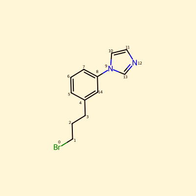 BrCCCc1cccc(-n2ccnc2)c1